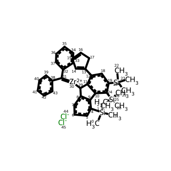 C[Si](C)(C)c1cccc2c1-c1c(c(C3=CC=CC3)cc([Si](C)(C)C)c1[Si](C)(C)C)[CH]2[Zr+2]=[C](c1ccccc1)c1ccccc1.[Cl-].[Cl-]